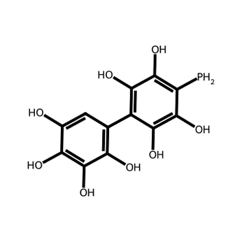 Oc1cc(-c2c(O)c(O)c(P)c(O)c2O)c(O)c(O)c1O